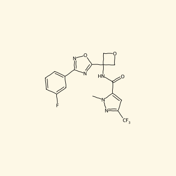 Cn1nc(C(F)(F)F)cc1C(=O)NC1(c2nc(-c3cccc(F)c3)no2)COC1